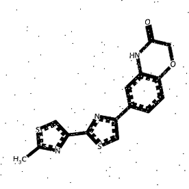 Cc1nc(-c2nc(-c3ccc4c(c3)NC(=O)CO4)cs2)cs1